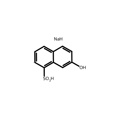 O=S(=O)(O)c1[c]ccc2ccc(O)cc12.[NaH]